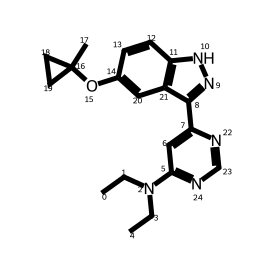 CCN(CC)c1cc(-c2n[nH]c3ccc(OC4(C)CC4)cc23)ncn1